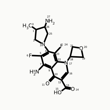 CC1CN(c2c(F)c(N)c3c(=O)c(C(=O)O)cn(C4COC4)c3c2F)CC1N